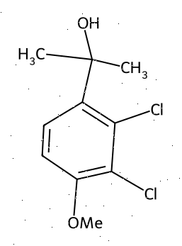 COc1ccc(C(C)(C)O)c(Cl)c1Cl